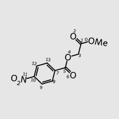 COC(=O)COC(=O)c1ccc([N+](=O)[O-])cc1